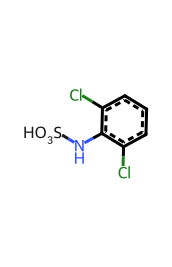 O=S(=O)(O)Nc1c(Cl)cccc1Cl